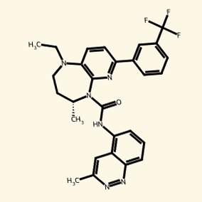 CCN1CC[C@@H](C)N(C(=O)Nc2cccc3nnc(C)cc23)c2nc(-c3cccc(C(F)(F)F)c3)ccc21